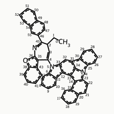 CCC1C=C(n2c3ccccc3c3c4c5c6ccccc6ccc5n5c6ccccc6c(cc32)c45)c2c(oc3ccccc23)N=C1c1ccc2ccccc2c1